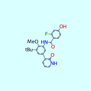 COc1c(NC(=O)c2ccc(O)cc2F)cc(-c2ccc[nH]c2=O)cc1C(C)(C)C